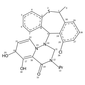 CC1Sc2ccccc2C(N2CN(C(C)C)C(=O)C3=C(O)C(O)C=CN32)c2c(Cl)cccc21